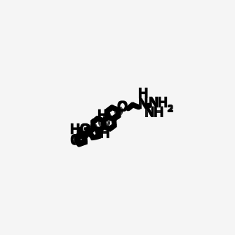 C[C@]12CC[C@H]3[C@@H](CCC4=C[C@@H](OCCCNC(=N)N)CC[C@@]43C)[C@@]1(O)CC[C@]2(O)c1ccoc1